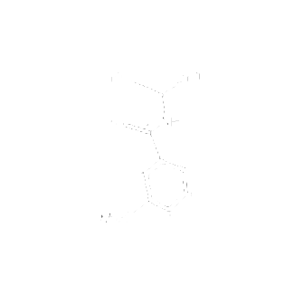 CCCC(CCC)NC(=O)c1cccc(SC)c1